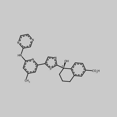 Cc1cc(Nc2cnccn2)nc(-c2cnc([C@@]3(O)CCCc4cc(C(=O)O)ccc43)s2)c1